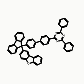 c1ccc(-c2nc(-c3ccccc3)nc(-c3ccc(-c4ccc(C5(c6ccc7oc8ccccc8c7c6)c6ccccc6-c6ccccc65)cc4)cc3)n2)cc1